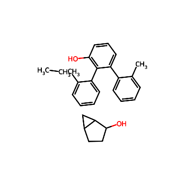 CC.Cc1ccccc1-c1cccc(O)c1-c1ccccc1C.OC1CCC2CC12